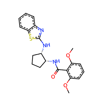 COc1cccc(OC)c1C(=O)N[C@@H]1CCC[C@@H]1Nc1nc2ccccc2s1